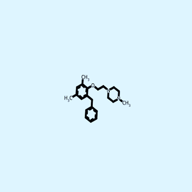 Cc1cc(C)c(OCCN2CCN(C)CC2)c(Cc2ccccc2)c1